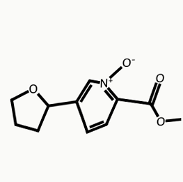 COC(=O)c1ccc(C2CCCO2)c[n+]1[O-]